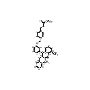 COC(=O)CCc1ccc(COc2cccc(-c3c(Cc4ccccc4C)cnc4c(C(F)(F)F)cccc34)c2)cc1